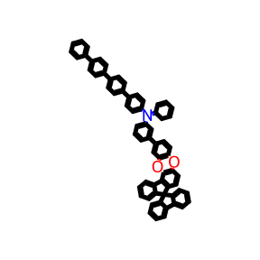 C1=CCC(N(c2ccc(-c3ccc(-c4ccc(-c5ccccc5)cc4)cc3)cc2)c2cccc(-c3ccc4c(c3)Oc3c(ccc5c3-c3ccccc3C53c5ccccc5-c5ccccc53)O4)c2)C=C1